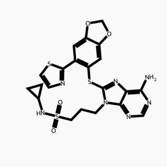 Nc1ncnc2c1nc(Sc1cc3c(cc1-c1nccs1)OCO3)n2CCCS(=O)(=O)NC1CC1